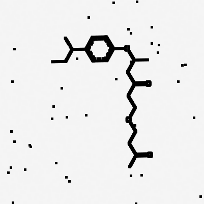 CCC(C)c1ccc(OC(C)CC(=O)CCOCCC(C)=O)cc1